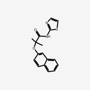 CC(C)(Oc1ccc2ccccc2c1)C(=O)Nc1nccs1